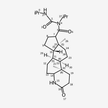 CC(C)NC(=O)N(C(=O)C1CC[C@H]2[C@@H]3CCC4NC(=O)CC[C@]4(C)[C@@H]3CC[C@]12C)C(C)C